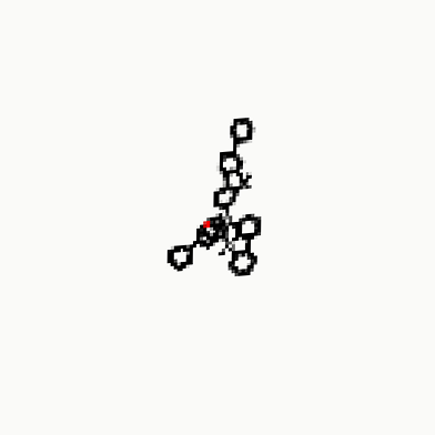 CC1(C)c2cc(-c3ccccc3)ccc2-c2ccc(N(c3ccc(-c4ccccc4)cc3)c3cccc4c3[Si](C)(c3ccccc3)c3ccccc3-4)cc21